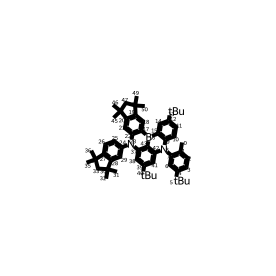 Cc1ccc(C(C)(C)C)cc1N1c2ccc(C(C)(C)C)cc2B2c3cc4c(cc3N(c3ccc5c(c3)C(C)(C)CC5(C)C)c3cc(C(C)(C)C)cc1c32)C(C)(C)CC4(C)C